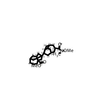 COC(=O)C12CCCC3CC1CC(C14CC5CC(C(=O)N(C)OC)CC(C1)C(C5)C4)(C3)C2